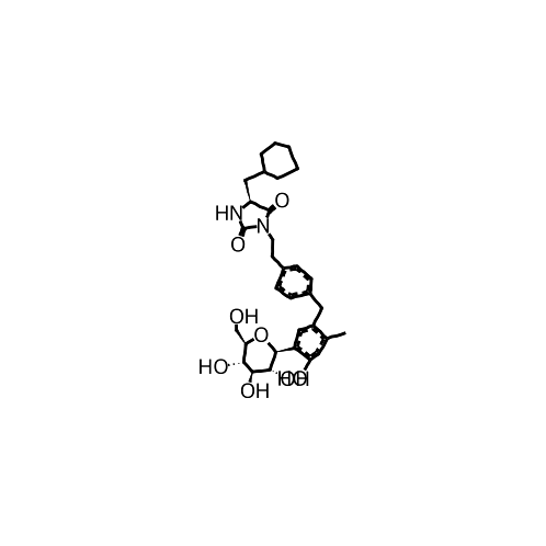 Cc1cc(O)c([C@@H]2O[C@H](CO)[C@@H](O)[C@H](O)[C@H]2O)cc1Cc1ccc(CCN2C(=O)N[C@@H](CC3CCCCC3)C2=O)cc1